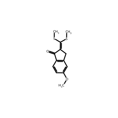 COc1ccc2c(c1)CC(=C(SC)SC)C2=O